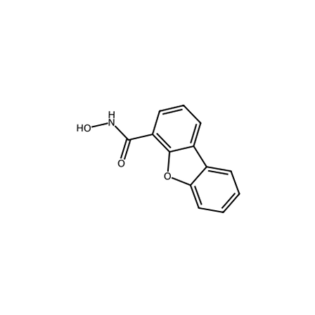 O=C(NO)c1cccc2c1oc1ccccc12